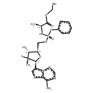 C[C@H](NP(=O)(OC[C@H]1O[C@@H](c2cnc3c(N)ncnn23)[C@](C)(F)[C@@H]1O)Oc1ccccc1)C(=O)OCC(C)(C)C